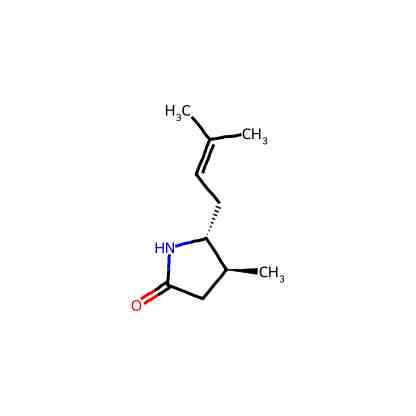 CC(C)=CC[C@H]1NC(=O)C[C@@H]1C